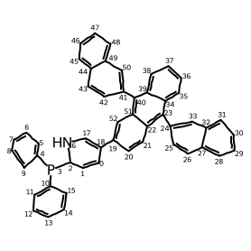 C1=CC(P(c2ccccc2)c2ccccc2)NC=C1c1ccc2c(-c3ccc4ccccc4c3)c3ccccc3c(-c3ccc4ccccc4c3)c2c1